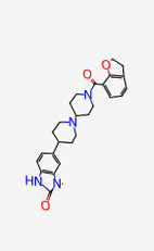 O=C1[N]c2cc(C3CCN(C4CCN(C(=O)c5cccc6c5OCC6)CC4)CC3)ccc2N1